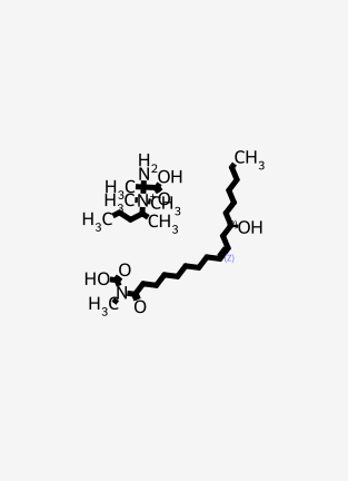 CCCC(C)[N+](C)(C)C(C)(N)C(=O)O.CCCCCC[C@@H](O)C/C=C\CCCCCCCC(=O)N(C)C(=O)O